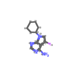 Nc1ncnc2c1c(I)cn2C1CCCCC1